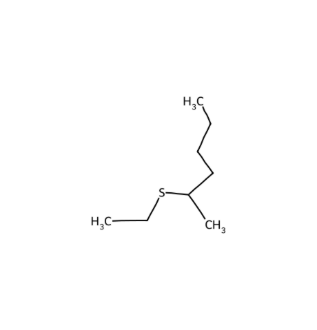 CCCCC(C)SCC